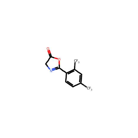 O=C1CN=C(c2ccc(C(F)(F)F)cc2C(F)(F)F)O1